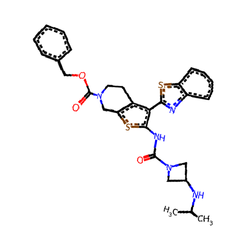 CC(C)NC1CN(C(=O)Nc2sc3c(c2-c2nc4ccccc4s2)CCN(C(=O)OCc2ccccc2)C3)C1